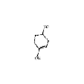 O=NC1CC=C(O)CC1